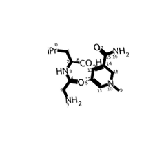 CC(C)C[C@H](NC(=O)CN)C(=O)O.CN1C=CC=C(C(N)=O)C1